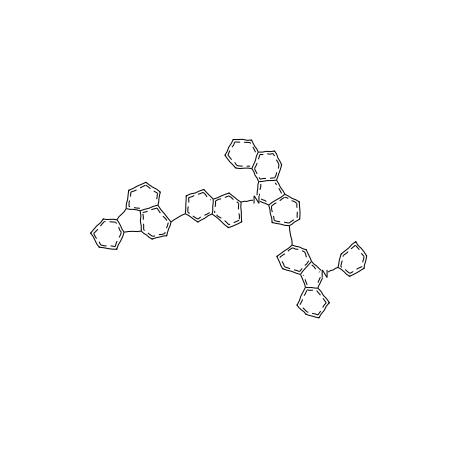 c1ccc(-n2c3ccccc3c3ccc(-c4ccc5c6ccc7ccccc7c6n(-c6ccc7cc(-c8ccc9c%10c(cccc8%10)-c8ccccc8-9)ccc7c6)c5c4)cc32)cc1